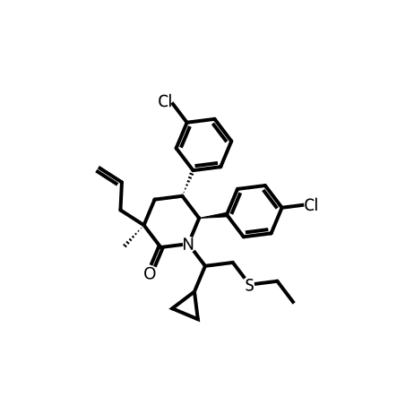 C=CC[C@@]1(C)C[C@H](c2cccc(Cl)c2)[C@@H](c2ccc(Cl)cc2)N(C(CSCC)C2CC2)C1=O